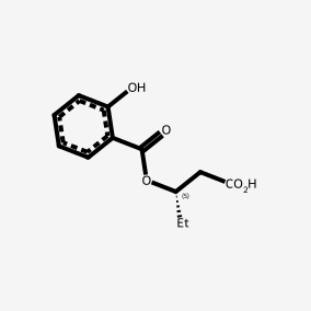 CC[C@@H](CC(=O)O)OC(=O)c1ccccc1O